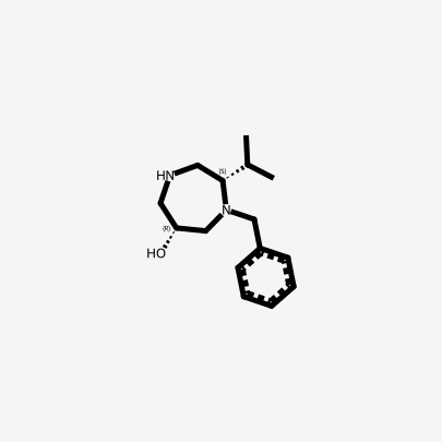 CC(C)[C@H]1CNC[C@@H](O)CN1Cc1ccccc1